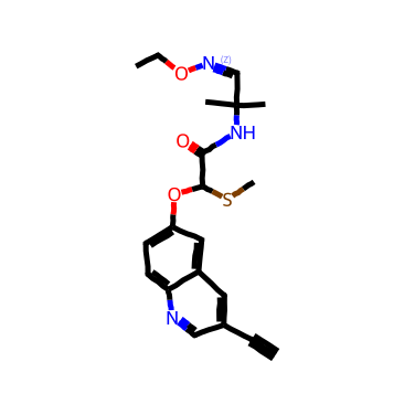 C#Cc1cnc2ccc(OC(SC)C(=O)NC(C)(C)/C=N\OCC)cc2c1